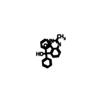 Cc1nc2cccc(C(O)(c3ccccc3)c3ccccc3)c2c(=O)[nH]1